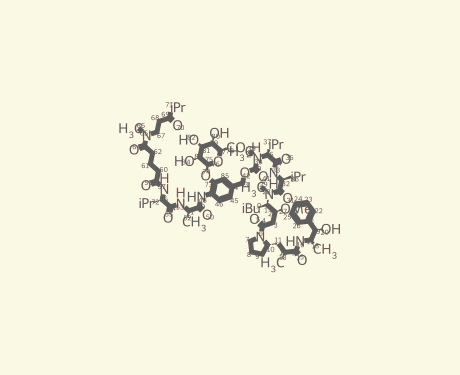 CC[C@H](C)[C@@H]([C@@H](CC(=O)N1CCC[C@H]1C[C@@H](C)C(=O)N[C@H](C)[C@@H](O)c1ccccc1)OC)N(C)C(=O)[C@@H](NC(=O)[C@H](C(C)C)N(C)C(=O)OCc1ccc(NC(=O)[C@H](C)NC(=O)[C@@H](NC(=O)CCCC(=O)N(C)CCC(=O)C(C)C)C(C)C)c(O[C@@H]2O[C@H](C(=O)O)[C@@H](O)[C@H](O)[C@H]2O)c1)C(C)C